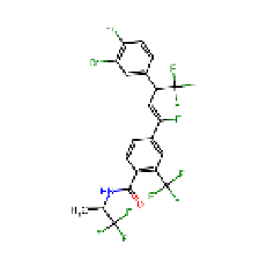 C[C@@H](NC(=O)c1ccc(/C(F)=C/C(c2ccc(Br)c(Br)c2)C(F)(F)F)cc1C(F)(F)F)C(F)(F)F